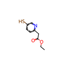 CCOC(=O)Cc1ccc(S)cn1